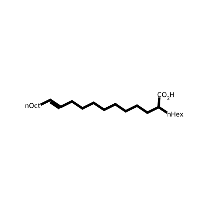 CCCCCCCCC=CCCCCCCCCC(CCCCCC)C(=O)O